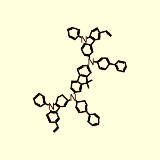 C=Cc1ccc2c(c1)c1c(n2-c2ccccc2)CCC(N(c2ccc3c(c2)C(C)(C)c2cc(N(c4ccc(-c5ccccc5)cc4)c4ccc5c(c4)c4cc(C=C)ccc4n5-c4ccccc4)ccc2-3)C2C=CC(c3ccccc3)=CC2)=C1